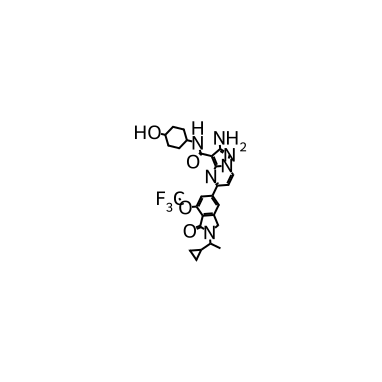 CC(C1CC1)N1Cc2cc(-c3ccn4nc(N)c(C(=O)NC5CCC(O)CC5)c4n3)cc(OC(F)(F)F)c2C1=O